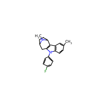 Cc1ccc2c(c1)c1c(n2-c2ccc(F)cc2)CC2CCC1N2C